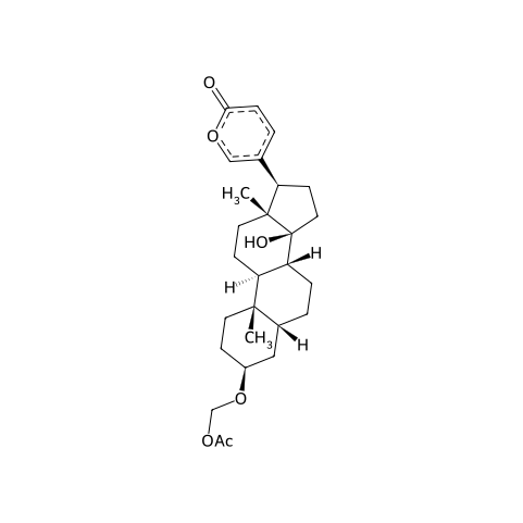 CC(=O)OCO[C@H]1CC[C@@]2(C)[C@H](CC[C@@H]3[C@@H]2CC[C@]2(C)[C@@H](c4ccc(=O)oc4)CC[C@]32O)C1